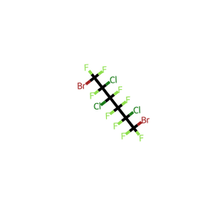 FC(F)(Br)C(F)(Cl)C(F)(F)C(F)(Cl)C(F)(Cl)C(F)(F)Br